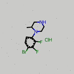 CC1CNCCN1c1ccc(Br)c(F)c1F.Cl